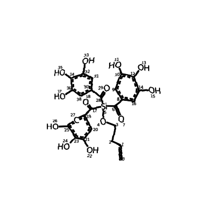 C=CCCO[Si](C(=O)c1cc(O)c(O)c(O)c1)(C(=O)c1cc(O)c(O)c(O)c1)C(=O)c1cc(O)c(O)c(O)c1